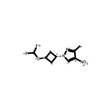 Cc1nn([C@H]2C[C@H](OC(F)F)C2)cc1[N+](=O)[O-]